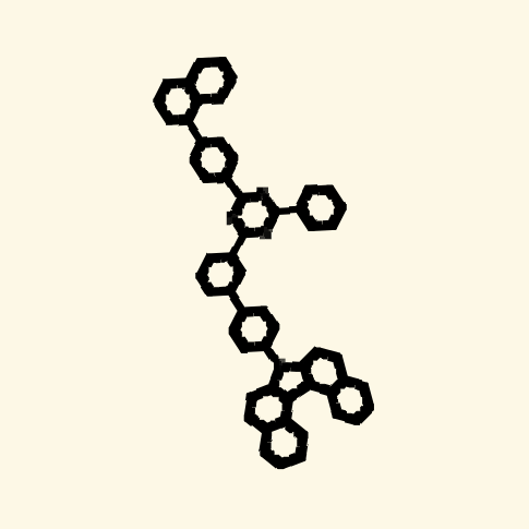 c1ccc(-c2nc(-c3ccc(-c4cccc5ccccc45)cc3)nc(-c3cccc(-c4ccc(-n5c6ccc7ccccc7c6c6c7ccccc7ccc65)cc4)c3)n2)cc1